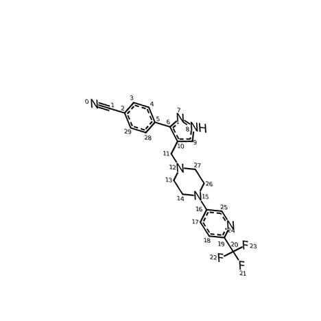 N#Cc1ccc(-c2n[nH]cc2CN2CCN(c3ccc(C(F)(F)F)nc3)CC2)cc1